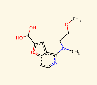 COCCN(C)c1nccc2oc(B(O)O)cc12